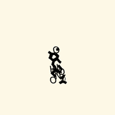 COc1cc(C)c(CN2CC[C@@]34OC[C@@H](C(C)C)N3C(=O)C[C@@H]24)cc1C